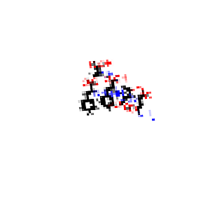 NC(=O)C[C@H](N)C(=O)O.N[C@@H](COC(=O)[C@@H](N)Cc1ccccc1)C(=O)O.N[C@@H](Cc1ccccc1)C(=O)O.O=C(O)[C@@H]1CCCN1